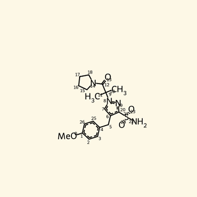 COc1ccc(Cc2cn(C(C)(C)C(=O)N3CCCC3)nc2S(N)(=O)=O)cc1